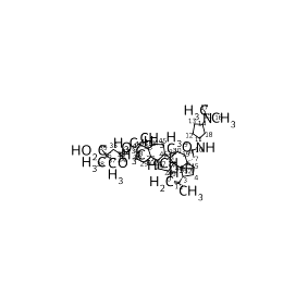 C=C(C)[C@@H]1CC[C@]2(CC(=O)N[C@@H]3CC[C@@H](N(C)C)C3)CC[C@]3(C)[C@H](CC[C@@H]4[C@@]5(C)CC[C@H](OC(=O)CC(C)(C)C(=O)O)C(C)(C)[C@@H]5CC[C@]43C)[C@@H]12